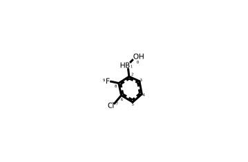 OBc1cccc(Cl)c1F